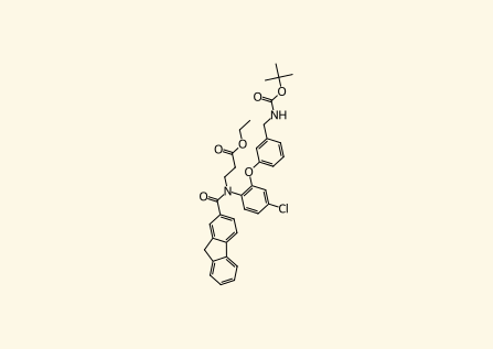 CCOC(=O)CCN(C(=O)c1ccc2c(c1)Cc1ccccc1-2)c1ccc(Cl)cc1Oc1cccc(CNC(=O)OC(C)(C)C)c1